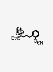 CCO[Si](CCCc1ccccc1OC#N)(OCC)OCC